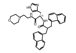 O=C(N[C@@H](Cc1c[nH]cn1)C(=O)NCCN1CCOCC1)C(Cc1cccc2ccccc12)Cc1cccc2ccccc12